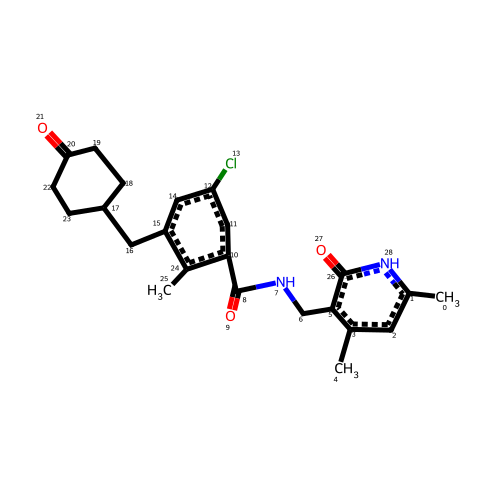 Cc1cc(C)c(CNC(=O)c2cc(Cl)cc(CC3CCC(=O)CC3)c2C)c(=O)[nH]1